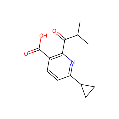 CC(C)C(=O)c1nc(C2CC2)ccc1C(=O)O